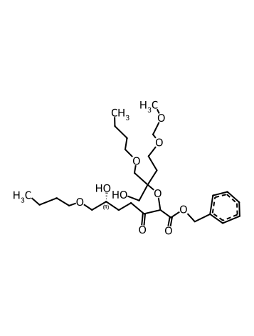 CCCCOC[C@H](O)CCC(=O)C(OC(CO)(CCOCOC)COCCCC)C(=O)OCc1ccccc1